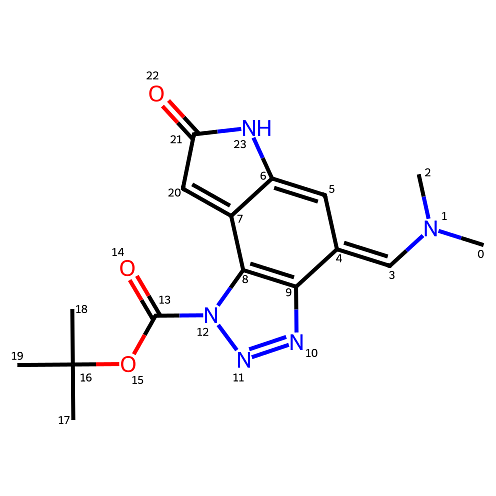 CN(C)C=c1cc2c(c3c1nnn3C(=O)OC(C)(C)C)=CC(=O)N2